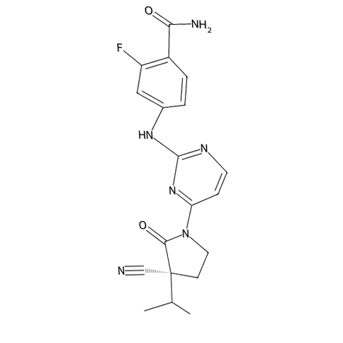 CC(C)[C@]1(C#N)CCN(c2ccnc(Nc3ccc(C(N)=O)c(F)c3)n2)C1=O